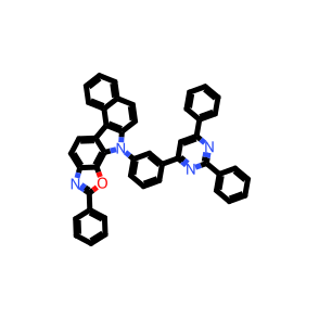 c1ccc(-c2cc(-c3cccc(-n4c5ccc6ccccc6c5c5ccc6nc(-c7ccccc7)oc6c54)c3)nc(-c3ccccc3)n2)cc1